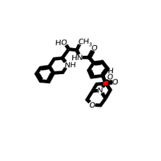 CC(NC(=O)c1ccc(C(=O)N2C3COCC2CC(O)C3)cc1)C(O)C1Cc2ccccc2CN1